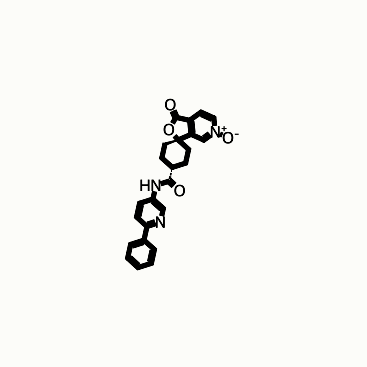 O=C1O[C@]2(CC[C@@H](C(=O)Nc3ccc(-c4ccccc4)nc3)CC2)c2c[n+]([O-])ccc21